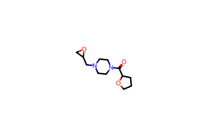 O=C(C1CCCO1)N1CCN(CC2CO2)CC1